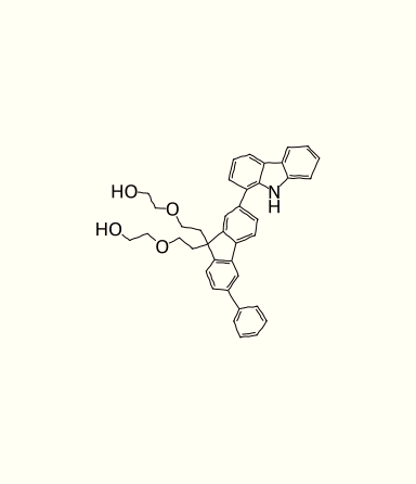 OCCOCCC1(CCOCCO)c2ccc(-c3ccccc3)cc2-c2ccc(-c3cccc4c3[nH]c3ccccc34)cc21